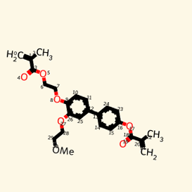 C=C(C)C(=O)OCCOc1ccc(-c2ccc(OC(=O)C(=C)C)cc2)cc1OCCOC